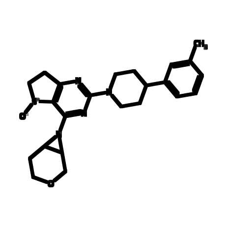 Cc1cccc(C2CCN(c3nc4c(c(N5C6CCOCC65)n3)[S+]([O-])CC4)CC2)c1